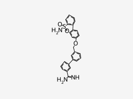 N=C(N)c1cccc(-c2cccc(COc3ccc(-c4ccccc4S(N)(=O)=O)cc3)c2)c1